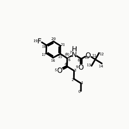 CCCCC(=O)[C@H](NC(=O)OC(C)(C)C)c1ccc(F)cc1